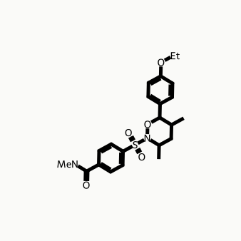 CCOc1ccc(C2ON(S(=O)(=O)c3ccc(C(=O)NC)cc3)C(C)CC2C)cc1